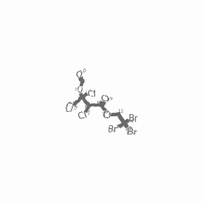 O=[C]OC(Cl)(Cl)C(Cl)C(=O)OCC(Br)(Br)Br